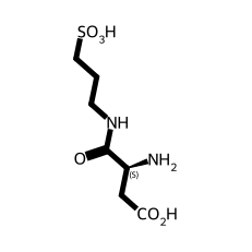 N[C@@H](CC(=O)O)C(=O)NCCCS(=O)(=O)O